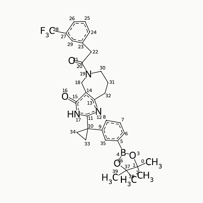 CC1(C)OB(c2cccc(C3(c4nc5c(c(=O)[nH]4)CN(C(=O)Cc4cccc(C(F)(F)F)c4)CCC5)CC3)c2)OC1(C)C